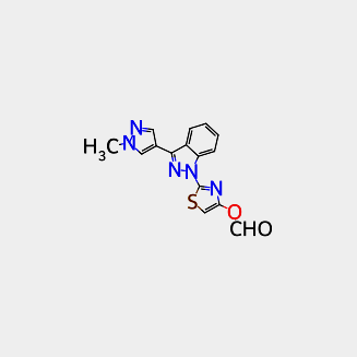 Cn1cc(-c2nn(-c3nc(OC=O)cs3)c3ccccc23)cn1